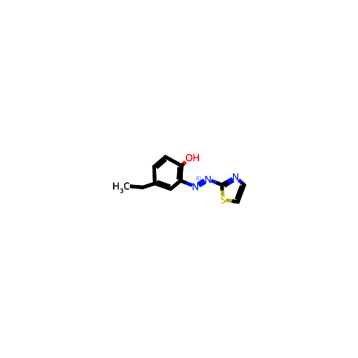 CCc1ccc(O)c(/N=N/c2nccs2)c1